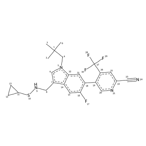 CC(C)(C)Cn1cc(CNSC2CC2)c2cc(F)c(-c3cnc(C#N)cc3C(F)(F)F)cc21